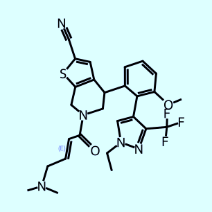 CCn1cc(-c2c(OC)cccc2C2CN(C(=O)/C=C/CN(C)C)Cc3sc(C#N)cc32)c(C(F)(F)F)n1